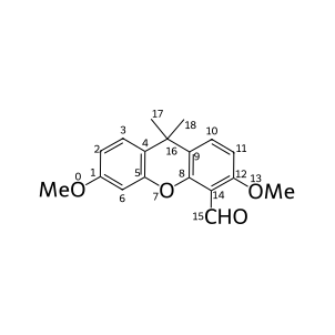 COc1ccc2c(c1)Oc1c(ccc(OC)c1C=O)C2(C)C